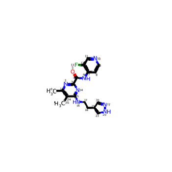 Cc1nc(C(=O)Nc2ccncc2F)nc(NCCc2cn[nH]c2)c1C